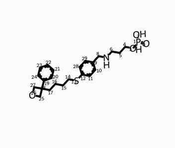 O=[PH](O)OCCCNCc1ccc(SCCCCC2(c3ccccc3)COC2)cc1